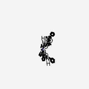 CN[C@H](C(=O)N[C@H](C(=O)N(C)[C@H](/C=C(\C)C(=O)N1CCC[C@@H]1C(=O)N1CCC[C@@H]1C(=O)NCc1ccccc1)C(C)C)C(C)(C)C)C(C)(C)c1ccccc1